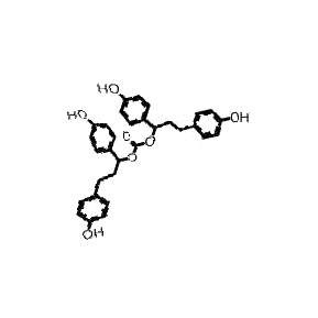 O=C(OC(CCc1ccc(O)cc1)c1ccc(O)cc1)OC(CCc1ccc(O)cc1)c1ccc(O)cc1